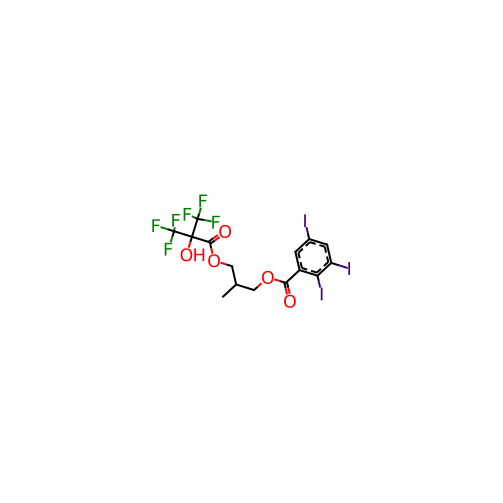 CC(COC(=O)c1cc(I)cc(I)c1I)COC(=O)C(O)(C(F)(F)F)C(F)(F)F